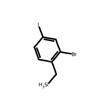 [SiH3]Cc1ccc(I)cc1Br